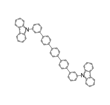 c1cc(-c2ccc(-c3ccc(-c4ccc(-c5cccc(-n6c7ccccc7c7ccccc76)c5)cc4)cc3)cc2)cc(-n2c3ccccc3c3ccccc32)c1